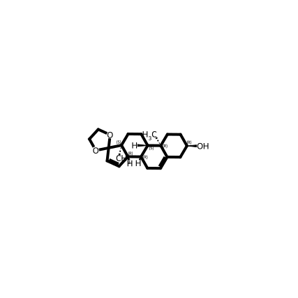 C[C@]12CC[C@@H](O)CC1=CC[C@@H]1[C@@H]2CC[C@@]2(C)[C@H]1C=CC21OCCO1